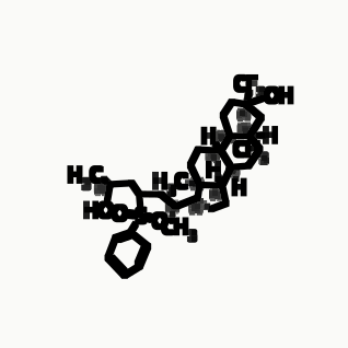 C[C@H](O)CC(C[C@@H](C)[C@H]1CC[C@H]2[C@@H]3CC[C@H]4C[C@](O)(C(F)(F)F)CC[C@]4(C)[C@H]3CC[C@]12C)S(=O)(=O)c1ccccc1